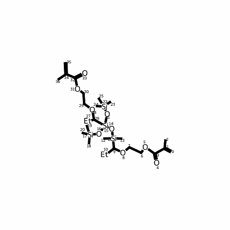 C=C(C)C(=O)OCCOC(CC)[Si](C)(C)O[Si](O[Si](C)(C)C)(O[Si](C)(C)C)C(CC)OCCOC(=O)C(=C)C